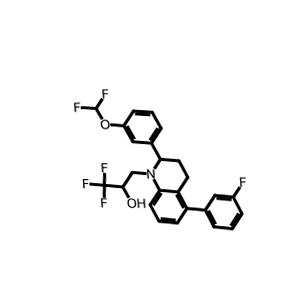 OC(CN1c2cccc(-c3cccc(F)c3)c2CCC1c1cccc(OC(F)F)c1)C(F)(F)F